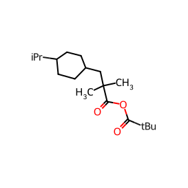 CC(C)C1CCC(CC(C)(C)C(=O)OC(=O)C(C)(C)C)CC1